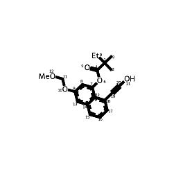 CCC(C)(C)C(=O)Oc1cc(OCOC)cc2cccc(C#CO)c12